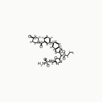 CCCS(=O)(=O)C(c1nnc(CNS(N)(=O)=O)o1)c1nc2ccc(-c3cccc(C(=O)N4CCC(=O)CC4)c3)cc2s1